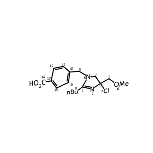 CCCCC1=NC(Cl)(COC)CN1Cc1ccc(C(=O)O)cc1